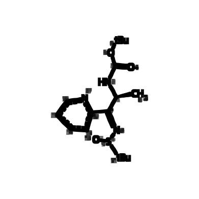 C[C@H](NC(=O)OC(C)(C)C)/C(=N/[S+]([O-])C(C)(C)C)c1ccccn1